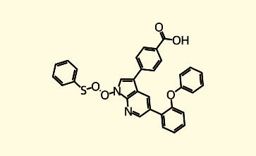 O=C(O)c1ccc(-c2cn(OOSc3ccccc3)c3ncc(-c4ccccc4Oc4ccccc4)cc23)cc1